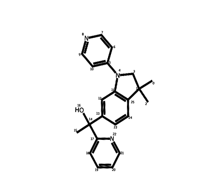 CC1(C)CN(c2ccncc2)c2cc(C(C)(O)c3ccccn3)ccc21